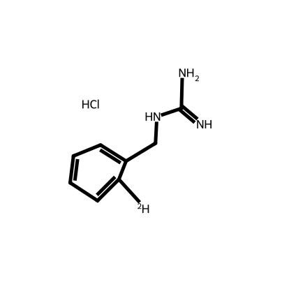 Cl.[2H]c1ccccc1CNC(=N)N